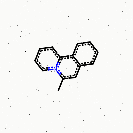 Cc1cc2ccccc2c2cccc[n+]12